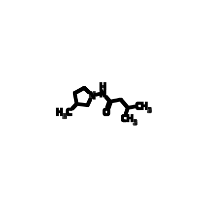 CC(C)CC(=O)NN1CCC(C)C1